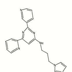 c1ccc(-c2cc(NCCCn3ccnc3)nc(-c3cccnc3)n2)nc1